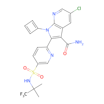 CC(C)(NS(=O)(=O)c1ccc(-c2c(C(N)=O)c3cc(Cl)cnc3n2C2=CC=C2)nc1)C(F)(F)F